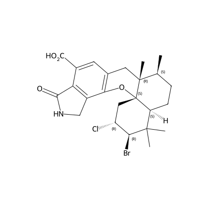 C[C@H]1CC[C@H]2C(C)(C)[C@@H](Br)[C@H](Cl)C[C@]23Oc2c(cc(C(=O)O)c4c2CNC4=O)C[C@]13C